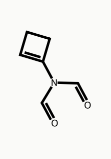 O=CN(C=O)C1=CCC1